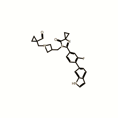 O=CC1(CN2CC(CN3C(=O)C4(CC4)N=C3c3ccc(-c4ccc5cc[nH]c5c4)c(F)c3)C2)CC1